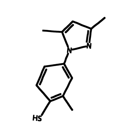 Cc1cc(C)n(-c2ccc(S)c(C)c2)n1